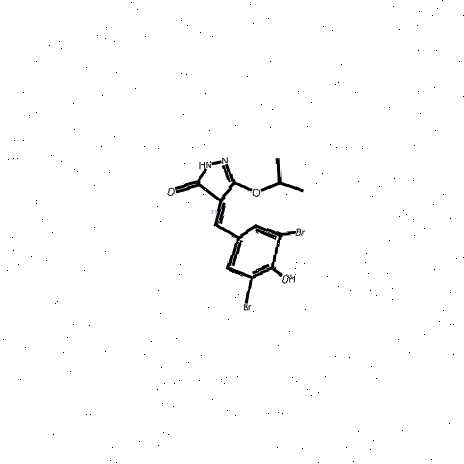 CC(C)OC1=NNC(=O)/C1=C/c1cc(Br)c(O)c(Br)c1